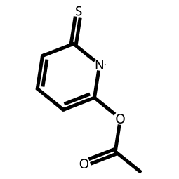 CC(=O)OC1=CC=CC(=S)[N]1